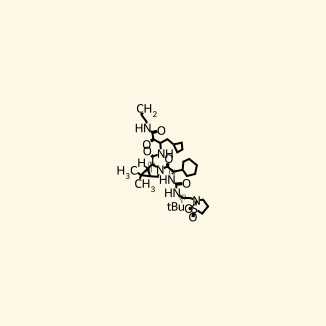 C=CCNC(=O)C(=O)C(CC1CCC1)NC(=O)[C@@H]1[C@@H]2C(CN1C(=O)[C@@H](NC(=O)N[C@H](CN1CCCS1(=O)=O)C(C)(C)C)C1CCCCC1)C2(C)C